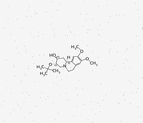 COc1cc2c(cc1OC)[C@@H]1C[C@H](O)[C@@H](OC(C)(C)C)CN1CC2